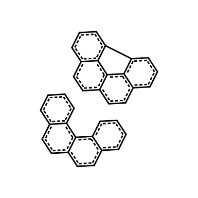 c1cc2c3c(c1)ccc1ccc4cccc-2c4c13.c1ccc2c(c1)ccc1ccc3ccccc3c12